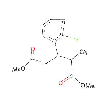 COC(=O)CC(c1ccccc1F)C(C#N)C(=O)OC